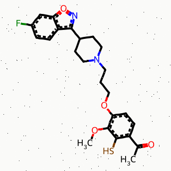 COc1c(OCCCN2CCC(c3noc4cc(F)ccc34)CC2)ccc(C(C)=O)c1S